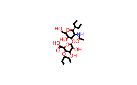 CCC(CC)OC1C(C(=O)O)O[C@H](OC2C(O)C(CO)O[C@@H](C(CC)CC)C2NC(C)=O)C(O)C1O